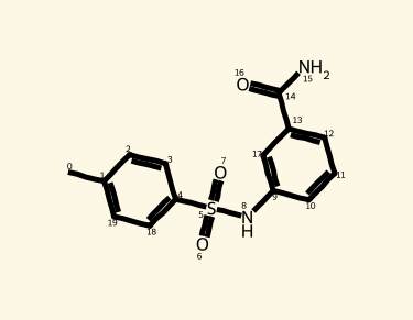 Cc1ccc(S(=O)(=O)Nc2cccc(C(N)=O)c2)cc1